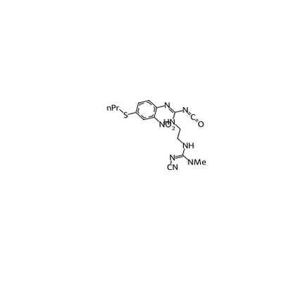 CCCSc1ccc(N=C(N=C=O)NCCNC(=NC#N)NC)c([N+](=O)[O-])c1